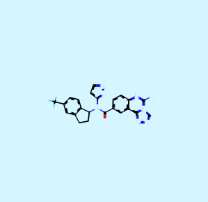 Cn1ccc(N(C(=O)c2ccc3nc(N)n4cnnc4c3c2)C2CCc3cc(C(F)(F)F)ccc32)n1